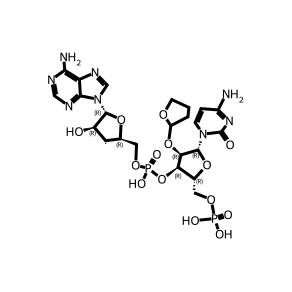 Nc1ccn([C@@H]2O[C@H](COP(=O)(O)O)[C@@H](OP(=O)(O)OC[C@H]3[CH][C@@H](O)[C@H](n4cnc5c(N)ncnc54)O3)[C@H]2OC2CCCO2)c(=O)n1